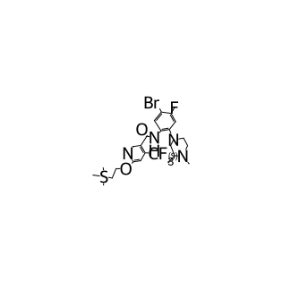 C[C@H]1CN(c2cc(F)c(Br)cc2NC(=O)c2cnc(OCCS(C)(C)C)cc2C(F)(F)F)CCN1C